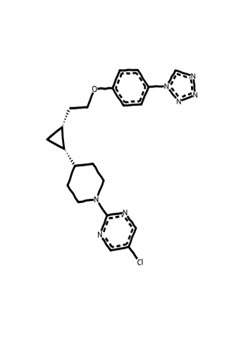 Clc1cnc(N2CCC([C@@H]3C[C@@H]3CCOc3ccc(-n4cnnn4)cc3)CC2)nc1